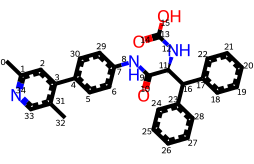 Cc1cc(-c2ccc(NC(=O)[C@@H](NC(=O)O)C(c3ccccc3)c3ccccc3)cc2)c(C)cn1